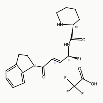 CC[C@@H](/C=C/C(=O)N1CCc2ccccc21)NC(=O)[C@@H]1CCCCN1.O=C(O)C(F)(F)F